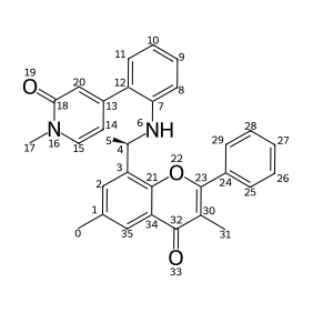 Cc1cc([C@@H](C)Nc2ccccc2-c2ccn(C)c(=O)c2)c2oc(-c3ccccc3)c(C)c(=O)c2c1